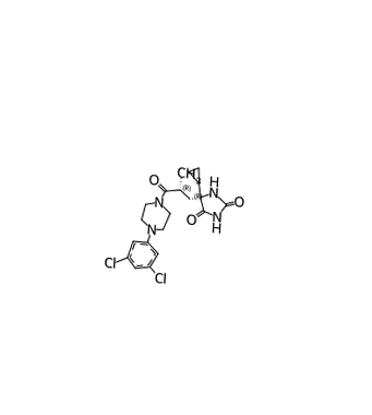 C[C@H](C[C@]1(C2CC2)NC(=O)NC1=O)C(=O)N1CCN(c2cc(Cl)cc(Cl)c2)CC1